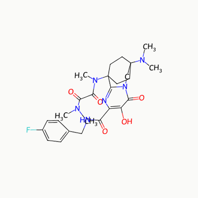 CN(C)C(=O)C(=O)N(C)C12CCC(N(C)C)(CC1)Cn1c2nc(C(=O)NCc2ccc(F)cc2)c(O)c1=O